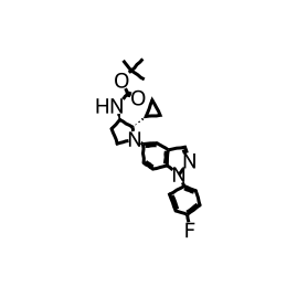 CC(C)(C)OC(=O)N[C@@H]1CCN(c2ccc3c(cnn3-c3ccc(F)cc3)c2)[C@H]1C1CC1